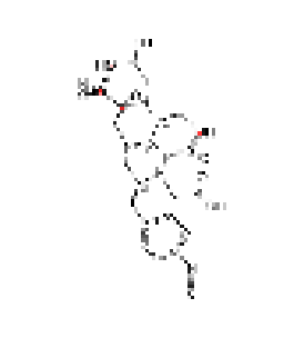 O=C(O)CN(CC(=O)O)[C@@H](Cc1ccc(N=S)cc1)CN(CC(=O)O)[C@@H]1CCCC[C@H]1N(CC(=O)O)CC(O)O